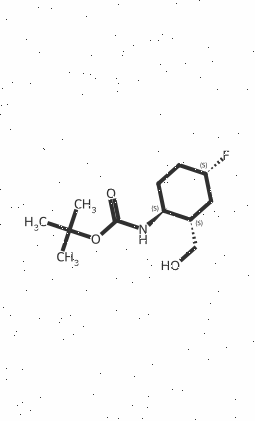 CC(C)(C)OC(=O)N[C@H]1CC[C@H](F)C[C@@H]1CO